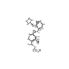 CC(CC(=O)O)c1ccc(OCc2cccnc2SC2CCCC2)cc1F